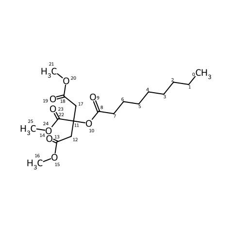 CCCCCCCCC(=O)OC(CC(=O)OC)(CC(=O)OC)C(=O)OC